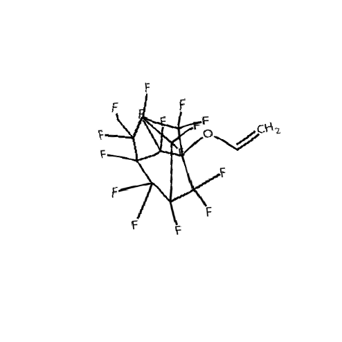 C=COC12C(F)(F)C3(F)C(F)(F)C(F)(C(F)(F)C(F)(C3(F)F)C1(F)F)C2(F)F